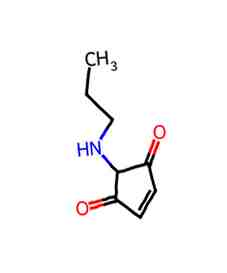 CCCNC1C(=O)C=CC1=O